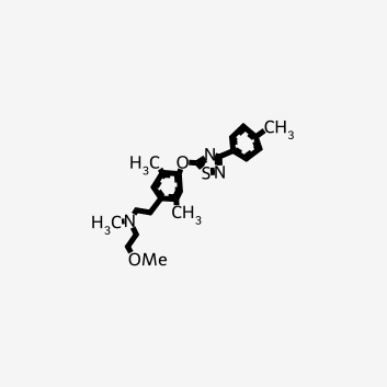 COCCN(C)CCc1cc(C)c(Oc2nc(-c3ccc(C)cc3)ns2)cc1C